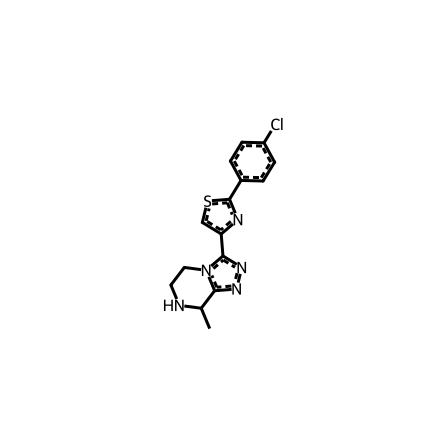 CC1NCCn2c(-c3csc(-c4ccc(Cl)cc4)n3)nnc21